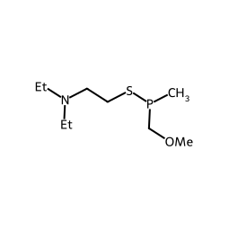 CCN(CC)CCSP(C)COC